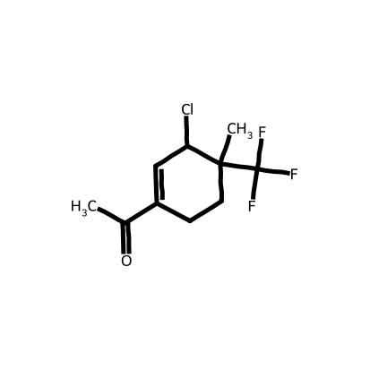 CC(=O)C1=CC(Cl)C(C)(C(F)(F)F)CC1